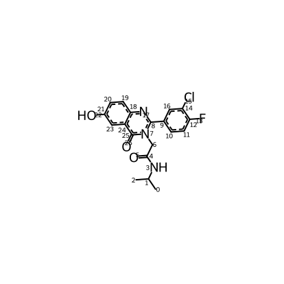 CC(C)NC(=O)Cn1c(-c2ccc(F)c(Cl)c2)nc2ccc(O)cc2c1=O